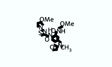 COCCNC(=O)c1cc(CN(C)C2CCOC2)ccc1NC(=O)c1csc(N2CC[C@H](OC)C2)n1